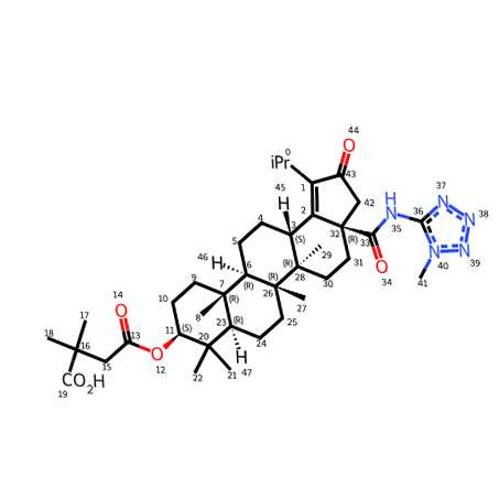 CC(C)C1=C2[C@H]3CC[C@@H]4[C@@]5(C)CC[C@H](OC(=O)CC(C)(C)C(=O)O)C(C)(C)[C@@H]5CC[C@@]4(C)[C@]3(C)CC[C@@]2(C(=O)Nc2nnnn2C)CC1=O